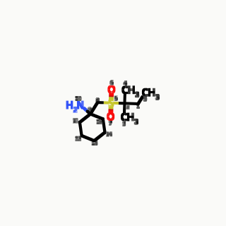 CCC(C)(C)S(=O)(=O)CC1(N)CCCCC1